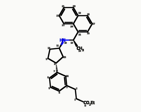 CCOC(=O)CCc1cccc([C@@H]2CC[C@@H](N[C@H](C)c3cccc4ccccc34)C2)c1